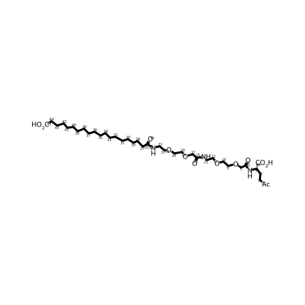 CC(=O)CC[C@H](NC(=O)COCCOCCNC(=O)COCCOCCNC(=O)CCCCCCCCCCCCCCCCCCC(=O)O)C(=O)O